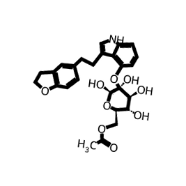 CC(=O)OC[C@H]1O[C@@H](O)[C@@](O)(Oc2cccc3[nH]cc(CCc4ccc5c(c4)CCO5)c23)[C@@H](O)[C@@H]1O